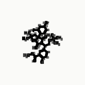 COC(=O)c1cc(C(CO[Si](C)(C)C)N2C(=N)N[C@](CC(C)(C)C)(c3ccc(Br)cc3F)C2=O)ccc1Cl